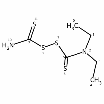 CCN(CC)C(=S)SSC(N)=S